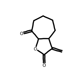 C=C1C(=O)OC2C(=O)CCCCC12